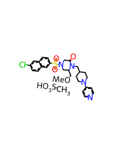 COCC1CN(S(=O)(=O)c2ccc3cc(Cl)ccc3c2)CC(=O)N1CC1CCN(c2ccncc2)CC1.CS(=O)(=O)O